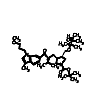 COCCCn1cc(C)c2ccc(C(=O)N(C[C@@H]3CN(C(=O)OC(C)(C)C)C[C@H]3CO[Si](C)(C)C(C)(C)C)C(C)C)cc21